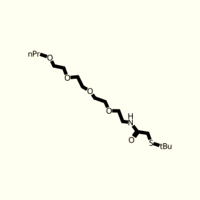 CCCOCCOCCOCCOCCNC(=O)CSC(C)(C)C